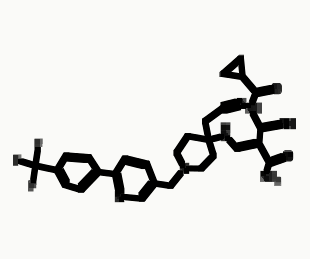 N#CCC1(N/C=C(\C(=N)NC(=O)C2CC2)C(N)=O)CCN(Cc2ccc(-c3ccc(C(F)(F)F)cc3)nc2)CC1